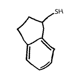 SC1CCc2ccccc21